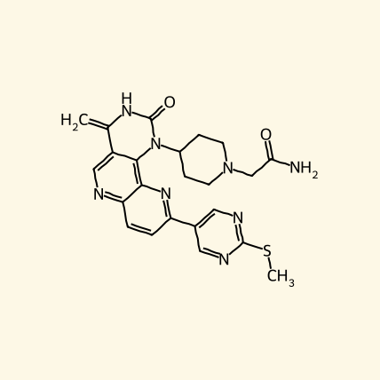 C=C1NC(=O)N(C2CCN(CC(N)=O)CC2)c2c1cnc1ccc(-c3cnc(SC)nc3)nc21